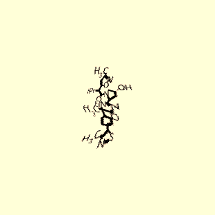 Cc1cc(C(C(=O)N2C[C@H](O)CC2C2=NC(=O)C(C)(c3ccc(-c4scnc4C)cc3)N2)C(C)C)on1